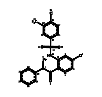 CC(C)N(C(=O)c1ncc(Cl)cc1NS(=O)(=O)c1ccc(Cl)c(C(F)(F)F)c1)c1ccccc1